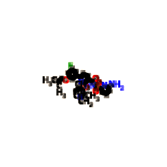 C=N/C(C)=C(Oc1nc(-c2cc(F)cc(OCC(C)C)c2)ccc1C(=O)NS(=O)(=O)c1cccc(N)n1)\C(C)=C/C